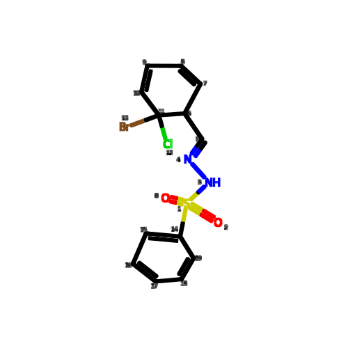 O=S(=O)(NN=CC1C=CC=CC1(Cl)Br)c1ccccc1